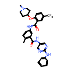 Cc1ccc(NC(=O)c2cc(C(F)(F)F)ccc2OC2CCN(C)CC2)cc1C(=O)Nc1cnc(Nc2ccccc2)nc1